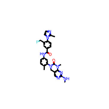 CNc1ncc2c(n1)N(C)C(=O)N(c1cc(NC(=O)c3ccc(-n4ccnc4C)c(CF)c3)ccc1C)C2